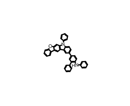 c1ccc(Nc2ccc(-c3ccc4c(c3)c3cc5c(cc3n4-c3ccccc3)oc3ccccc35)cc2-c2ccccc2)cc1